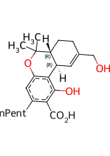 CCCCCc1cc2c(c(O)c1C(=O)O)[C@@H]1C=C(CO)CC[C@H]1C(C)(C)O2